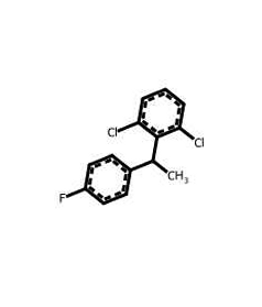 C[C](c1ccc(F)cc1)c1c(Cl)cccc1Cl